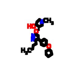 CCCCc1nnc(OC[C@H]2CN(C)CC[C@@H]2O)cc1-c1ccc(OC2CCCCC2)cc1